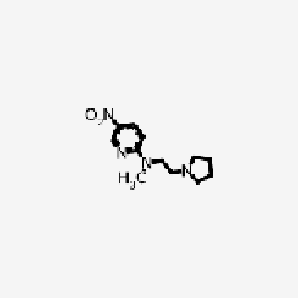 CN(CCN1CCCC1)c1ccc([N+](=O)[O-])cn1